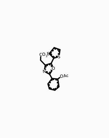 CCOC(=O)Cc1nc(-c2ccccc2OC(C)=O)oc1-c1cccs1